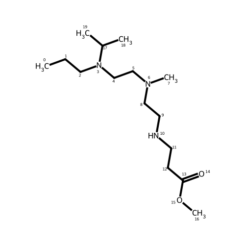 CCCN(CCN(C)CCNCCC(=O)OC)C(C)C